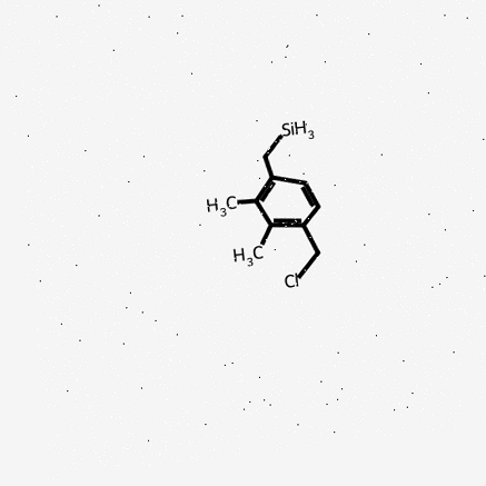 Cc1c(C[SiH3])ccc(CCl)c1C